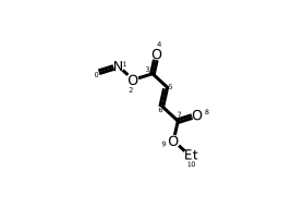 C=NOC(=O)/C=C/C(=O)OCC